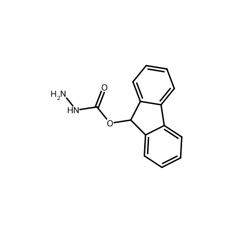 NNC(=O)OC1c2ccccc2-c2ccccc21